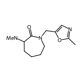 CNC1CCCCN(Cc2cnc(C)o2)C1=O